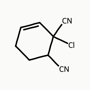 N#CC1CCC=CC1(Cl)C#N